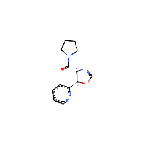 O=C([C@@H]1N=CO[C@H]1c1ccccn1)N1CCCC1